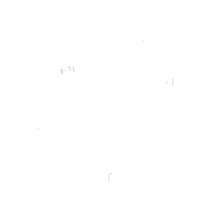 Fc1cc(F)cc(-c2cc(Cl)c(Cl)cc2Nc2cccs2)c1